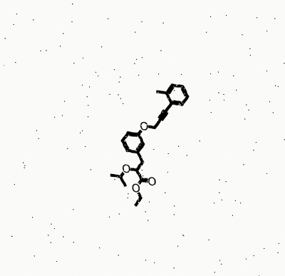 CCOC(=O)C(Cc1cccc(OCC#Cc2ccccc2C)c1)OC(C)C